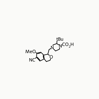 COc1cc2c(cc1C#N)CCOC2CN1CCN(C(=O)O)C(C(C)(C)C)C1